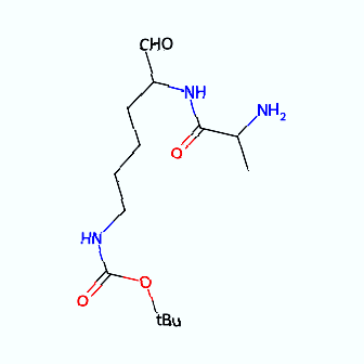 CC(N)C(=O)NC(C=O)CCCCNC(=O)OC(C)(C)C